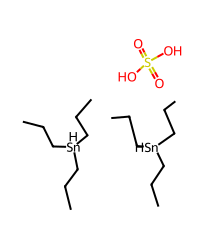 CC[CH2][SnH]([CH2]CC)[CH2]CC.CC[CH2][SnH]([CH2]CC)[CH2]CC.O=S(=O)(O)O